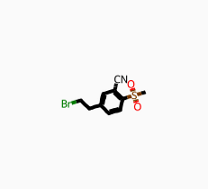 CS(=O)(=O)c1ccc(CCBr)cc1C#N